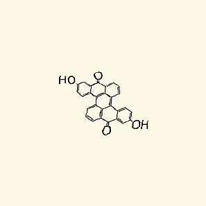 O=c1c2cc(O)ccc2c2c3cccc4c(=O)c5cc(O)ccc5c(c5cccc1c52)c43